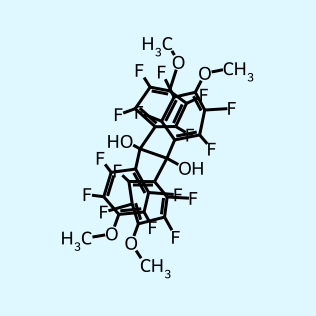 COc1c(F)c(F)c(C(O)(c2c(F)c(F)c(OC)c(F)c2F)C(O)(c2c(F)c(F)c(OC)c(F)c2F)c2c(F)c(F)c(OC)c(F)c2F)c(F)c1F